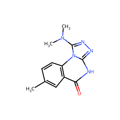 Cc1ccc2c(c1)c(=O)[nH]c1nnc(N(C)C)n12